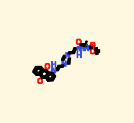 C[C@@H](NC(=O)OC(C)(C)C)C(=O)NCCCN1CCN(CCCNc2cccc3c2C(=O)c2ccccc2C3=O)CC1